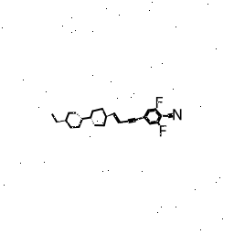 CC[C@H]1CC[C@H]([C@H]2CC[C@H](C=CC#Cc3cc(F)c(C#N)c(F)c3)CC2)CC1